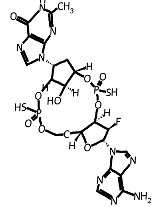 Cc1nc2c(ncn2[C@@H]2C[C@@H]3OP(=O)(S)O[C@H]4[C@@H](F)[C@H](n5cnc6c(N)ncnc65)O[C@@H]4CCOP(=O)(S)O[C@@H]2[C@@H]3O)c(=O)[nH]1